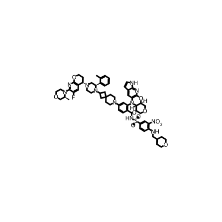 Cc1ccccc1[C@@H]1CN([C@H]2CCOc3nc(N4CCOC[C@@H]4C)c(F)cc32)CCN1C1CC2(CCN(c3ccc(C(=O)NS(=O)(=O)c4ccc(NCC5CCOCC5)c([N+](=O)[O-])c4)c(N4c5cc6cc[nH]c6nc5O[C@H]5COCC[C@@H]54)c3)CC2)C1